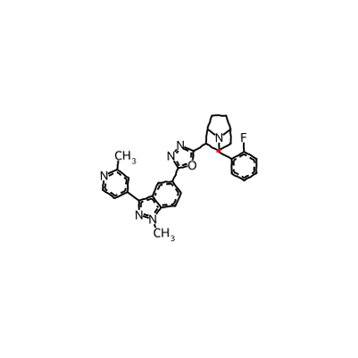 Cc1cc(-c2nn(C)c3ccc(-c4nnc(C5CCC6CCC5N6Cc5ccccc5F)o4)cc23)ccn1